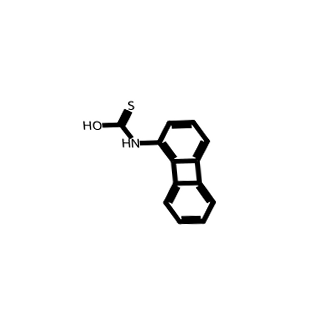 OC(=S)Nc1cccc2c1-c1ccccc1-2